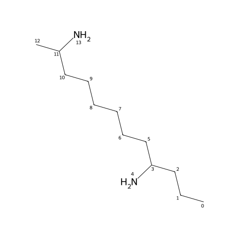 CCCC(N)CCCCCCC(C)N